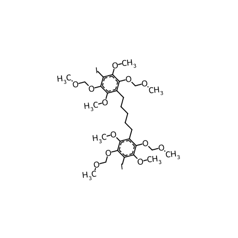 COCOc1c(I)c(OC)c(OCOC)c(CCCCCc2c(OC)c(OCOC)c(I)c(OC)c2OCOC)c1OC